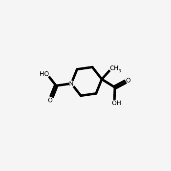 CC1(C(=O)O)CCN(C(=O)O)CC1